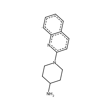 NC1CCN(c2ccc3ccc[c]c3n2)CC1